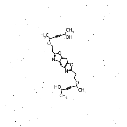 CC(O)C#CC(C)OCCc1nc2cc3nc(CCOC(C)C#CC(C)O)oc3cc2o1